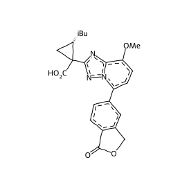 CC[C@@H](C)C1CC1(C(=O)O)c1nc2c(OC)ccc(-c3ccc4c(c3)COC4=O)n2n1